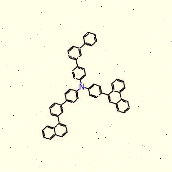 c1ccc(-c2cccc(-c3ccc(N(c4ccc(-c5cccc(-c6cccc7ccccc67)c5)cc4)c4ccc(-c5cc6ccccc6c6ccccc56)cc4)cc3)c2)cc1